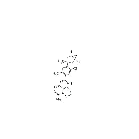 Cc1cc([C@]2(C)C[C@H]3C[C@H]3C2)c(Cl)cc1-c1cc(=O)c2c(C(N)=O)nccc2[nH]1